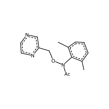 CC(=O)N(OCc1cnccn1)c1c(C)cccc1C